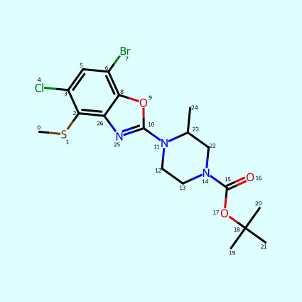 CSc1c(Cl)cc(Br)c2oc(N3CCN(C(=O)OC(C)(C)C)CC3C)nc12